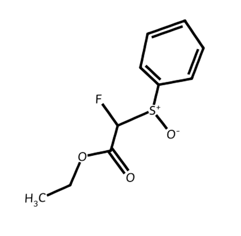 CCOC(=O)C(F)[S+]([O-])c1ccccc1